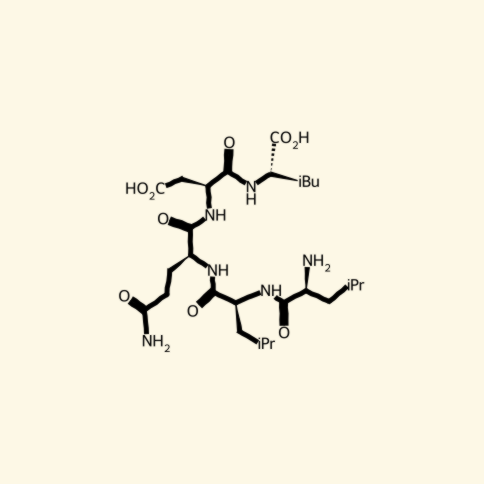 CC[C@H](C)[C@H](NC(=O)[C@H](CC(=O)O)NC(=O)[C@H](CCC(N)=O)NC(=O)[C@H](CC(C)C)NC(=O)[C@@H](N)CC(C)C)C(=O)O